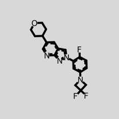 Fc1ccc(N2CC(F)(F)C2)cc1-n1cc2cc(C3CCOCC3)cnc2n1